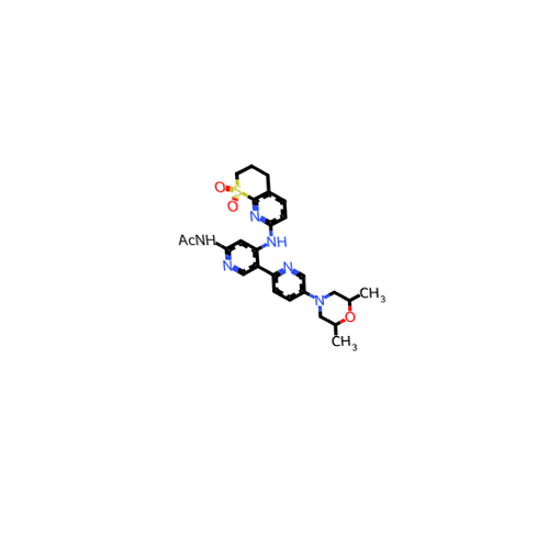 CC(=O)Nc1cc(Nc2ccc3c(n2)S(=O)(=O)CCC3)c(-c2ccc(N3CC(C)OC(C)C3)cn2)cn1